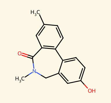 Cc1ccc2c(c1)C(=O)N(C)Cc1cc(O)ccc1-2